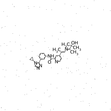 C/C(=C\N=C(/C)C(C)(C)O)c1ccnc(C(=O)Nc2cccc(-c3nncn3C3CC3)c2)c1